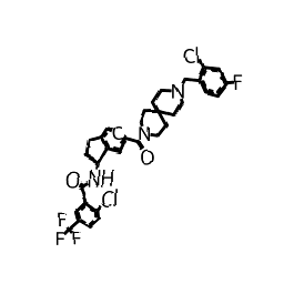 O=C(NC1CCc2ccc(C(=O)N3CCC4(CCN(Cc5ccc(F)cc5Cl)CC4)CC3)cc21)c1cc(C(F)(F)F)ccc1Cl